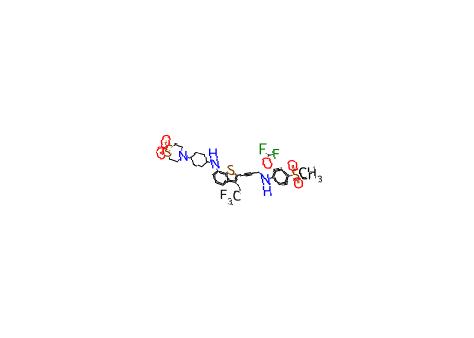 CS(=O)(=O)c1ccc(NCC#Cc2sc3c(NC4CCC(N5CCS(=O)(=O)CC5)CC4)cccc3c2CC(F)(F)F)c(OC(F)F)c1